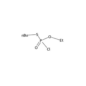 CCCCSP(=O)(Cl)OCC